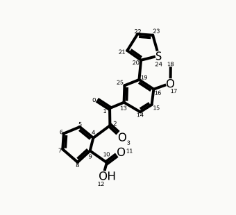 C=C(C(=O)c1ccccc1C(=O)O)c1ccc(OC)c(-c2cccs2)c1